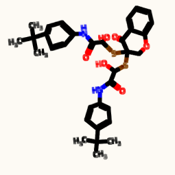 CC(C)(C)c1ccc(NC(=O)C(O)SC2(SC(O)C(=O)Nc3ccc(C(C)(C)C)cc3)COc3ccccc3C2=O)cc1